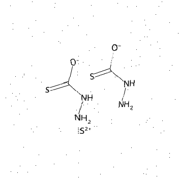 NNC([O-])=S.NNC([O-])=S.[S+2]